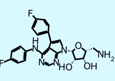 NC[C@H]1O[C@@H](n2cc(-c3ccc(F)cc3)c3c(Nc4ccc(F)cc4)ncnc32)[C@@H](O)[C@H]1O